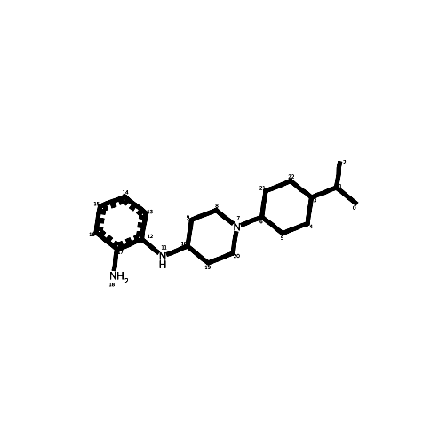 CC(C)C1CCC(N2CCC(Nc3ccccc3N)CC2)CC1